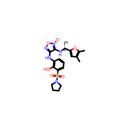 Cc1cc([C@H](Nc2c(Nc3cccc(S(=O)(=O)N4CCCC4)c3O)no[n+]2[O-])C(C)C)oc1C